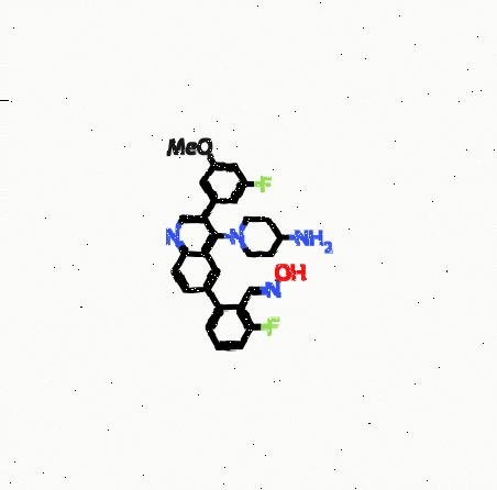 COc1cc(F)cc(-c2cnc3ccc(-c4cccc(F)c4C=NO)cc3c2N2CCC(N)CC2)c1